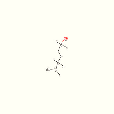 C[C@H](C(C)(C)C)C(C)(C)CCC(C)(C)O